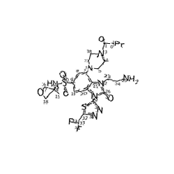 CC(C)C(=O)N1CCN(c2cc(S(=O)(=O)NC3(C)COC3)cc3c2n(CCN)c(=O)n3-c2nnc(C(F)F)s2)CC1